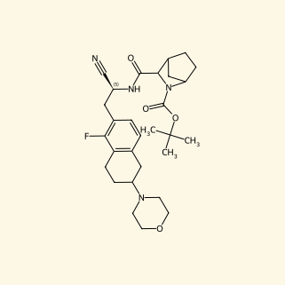 CC(C)(C)OC(=O)N1C2CCC(C2)C1C(=O)N[C@H](C#N)Cc1ccc2c(c1F)CCC(N1CCOCC1)C2